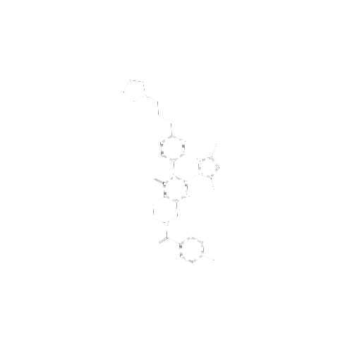 Cc1cc(C)n(-c2nc3c(c(=O)n2-c2ccc(OCCN4CCCC4)nc2)C[C@@H](C)N(C(=O)c2ccc(Br)c(C)c2)C3)n1